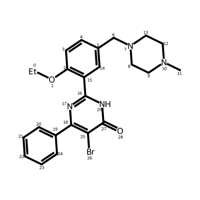 CCOc1ccc(CN2CCN(C)CC2)cc1-c1nc(-c2ccccc2)c(Br)c(=O)[nH]1